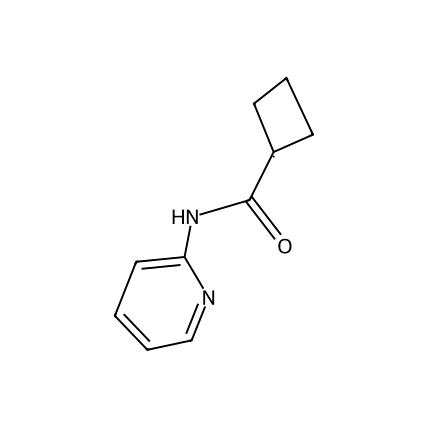 O=C(Nc1ccccn1)[C]1CCC1